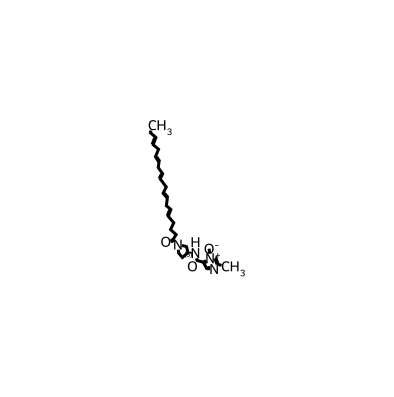 CCC=CCC=CCC=CCC=CCC=CCCCC(=O)N1CC[C@H](NC(=O)c2cnc(C)c[n+]2[O-])C1